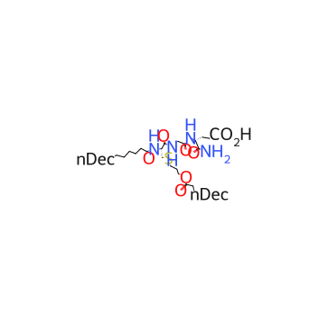 CCCCCCCCCCCCCCCC(=O)N[C@@H](CSCCCOC(=O)CCCCCCCCCCC)C(=O)NCC(=O)N[C@H](CCC(=O)O)C(N)=O